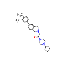 Cc1ccc(-c2ccc3c(c2)CCN(CC(=O)N2CCN(C4CCCC4)CC2)C3)cc1C